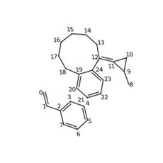 C=Cc1ccccc1.CC1CC1=C1CCCCCCc2ccccc21